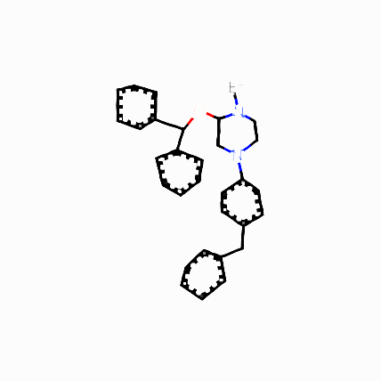 CCN1CCN(c2ccc(Cc3ccccc3)cc2)CC1OC(c1ccccc1)c1ccccc1